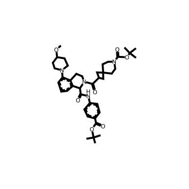 COC1CCN(c2cccc3c2CCN(C(=O)C2CC4(CCN(C(=O)OC(C)(C)C)CC4)C2)C3C(=O)Nc2ccc(C(=O)OC(C)(C)C)cc2)CC1